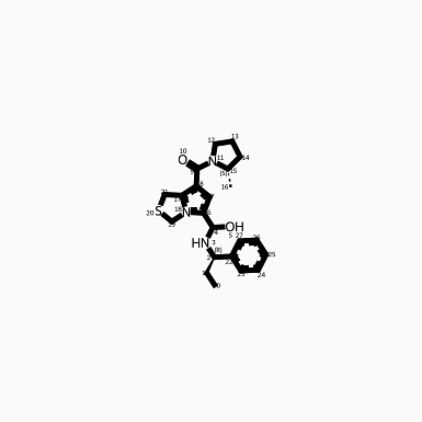 CC[C@@H](NC(O)c1cc(C(=O)N2CCC[C@@H]2C)c2n1CSC2)c1ccccc1